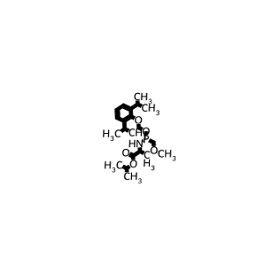 COCP(NC(C)C(=O)OC(C)C)OCOc1c(C(C)C)cccc1C(C)C